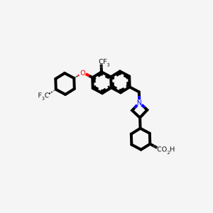 O=C(O)C1CCCC(C2CN(Cc3ccc4c(C(F)(F)F)c(O[C@H]5CC[C@@H](C(F)(F)F)CC5)ccc4c3)C2)C1